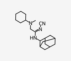 CN(CC(=NC#N)NC1C2CC3CC(C2)CC1C3)C1CCCCC1